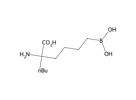 CCCCC(N)(CCCCB(O)O)C(=O)O